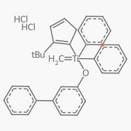 Cl.Cl.[CH2]=[Ti]([O]c1cccc(-c2ccccc2)c1)([C]1=C(C(C)(C)C)C=CC1)([c]1ccccc1)[c]1ccccc1